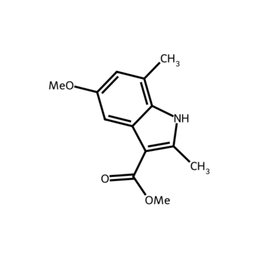 COC(=O)c1c(C)[nH]c2c(C)cc(OC)cc12